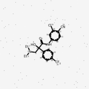 CCN(CC)CC(O)(C(=O)Nc1ccc(C#N)c(Cl)c1)c1ccc(C(F)(F)F)cc1